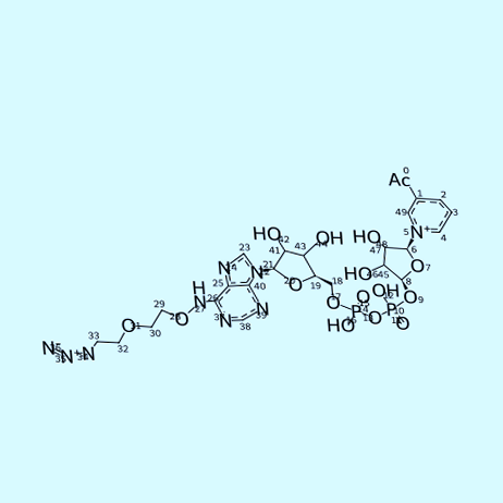 CC(=O)c1ccc[n+]([C@H]2O[C@@H](OP(=O)(O)OP(=O)(O)OC[C@H]3O[C@@H](n4cnc5c(NOCCOCCN=[N+]=[N-])ncnc54)C(O)C3O)C(O)C2O)c1